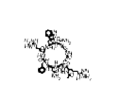 CC(=O)NC(CCCNC(=N)N)C(=O)N[C@H]1CCC(=O)NCCC[C@@H](C(N)=O)NC(=O)[C@H](Cc2c[nH]c3ccccc23)NC(=O)[C@H](CCCNC(=N)N)NC(=O)[C@@H](Cc2ccccc2)NC(=O)[C@H](CC(N)=O)NC1=O